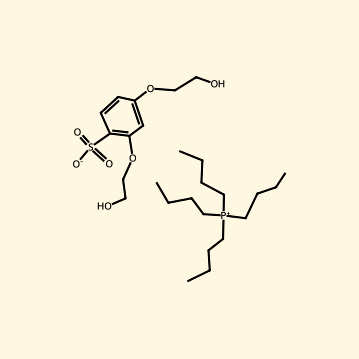 CCCC[P+](CCCC)(CCCC)CCCC.O=S(=O)([O-])c1ccc(OCCO)cc1OCCO